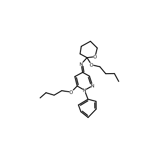 CCCCOc1cc(=NC2(OCCCC)CCCCO2)cnn1-c1ccccc1